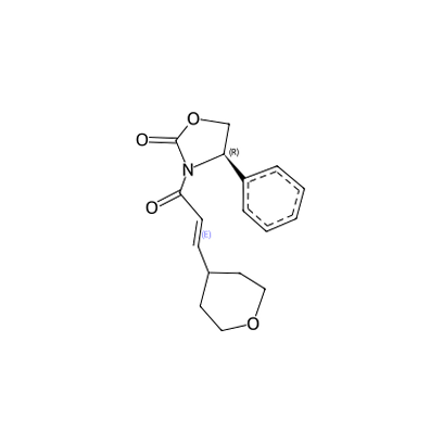 O=C(/C=C/C1CCOCC1)N1C(=O)OC[C@H]1c1ccccc1